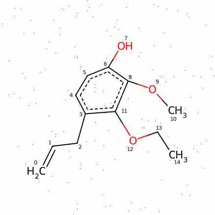 C=CCc1ccc(O)c(OC)c1OCC